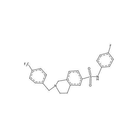 O=S(=O)(Nc1ccc(F)cc1)c1ccc2c(c1)CCN(Cc1ccc(C(F)(F)F)cc1)C2